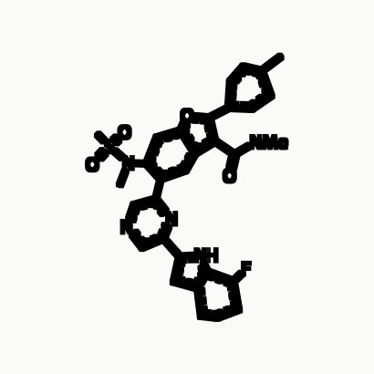 CNC(=O)c1c(-c2ccc(C)cc2)oc2cc(N(C)S(C)(=O)=O)c(-c3cncc(-c4cc5cccc(F)c5[nH]4)n3)cc12